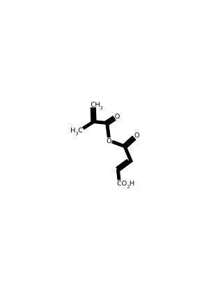 C=C(C)C(=O)OC(=O)C=CC(=O)O